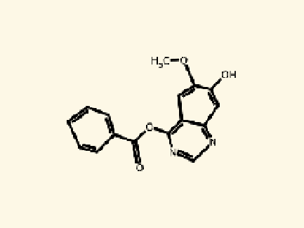 COc1cc2c(OC(=O)c3ccccc3)ncnc2cc1O